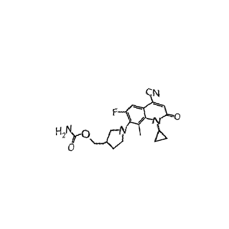 Cc1c(N2CCC(COC(N)=O)C2)c(F)cc2c(C#N)cc(=O)n(C3CC3)c12